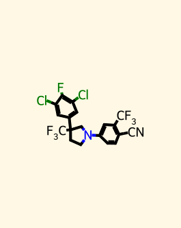 N#Cc1ccc(N2CCC(c3cc(Cl)c(F)c(Cl)c3)(C(F)(F)F)C2)cc1C(F)(F)F